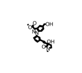 COC(=O)c1nn(-c2cccc(C#C[C@]3(O)CCN(C)C3=O)c2)c2ccc(CO)cc12